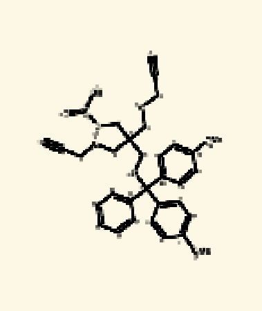 C#CCOCC(COCC#C)(CO[PH](=O)O)COC(c1ccccc1)(c1ccc(OC)cc1)c1ccc(OC)cc1